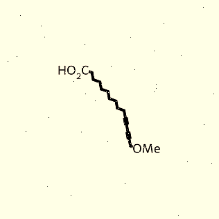 COCC#CC#CCCCCCCCCCC(=O)O